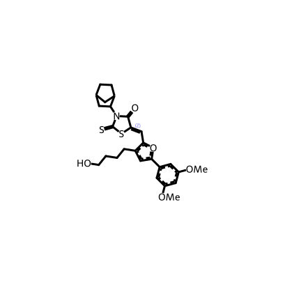 COc1cc(OC)cc(-c2cc(CCCCO)c(/C=C3\SC(=S)N(C4CC5CCC4C5)C3=O)o2)c1